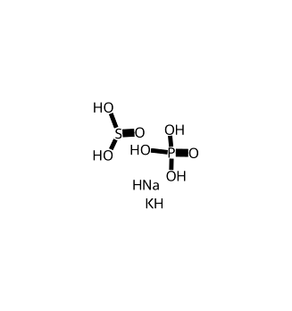 O=P(O)(O)O.O=S(O)O.[KH].[NaH]